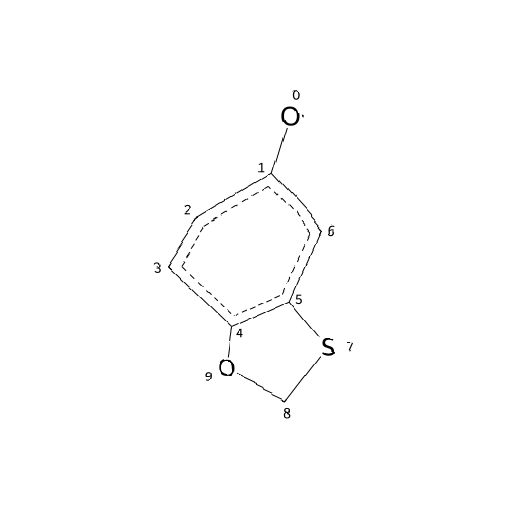 [O]c1ccc2c(c1)SCO2